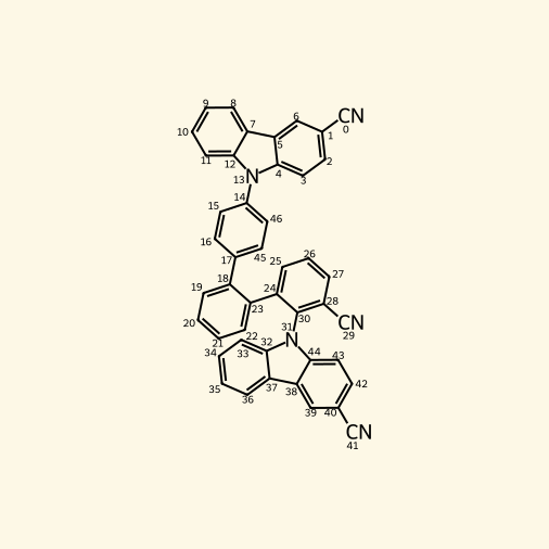 N#Cc1ccc2c(c1)c1ccccc1n2-c1ccc(-c2ccccc2-c2cccc(C#N)c2-n2c3ccccc3c3cc(C#N)ccc32)cc1